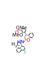 COC(=O)c1cccc([C@@H]2C[C@H](CNC(C)c3ccc(F)c4ccccc34)Oc3ccccc32)c1OC